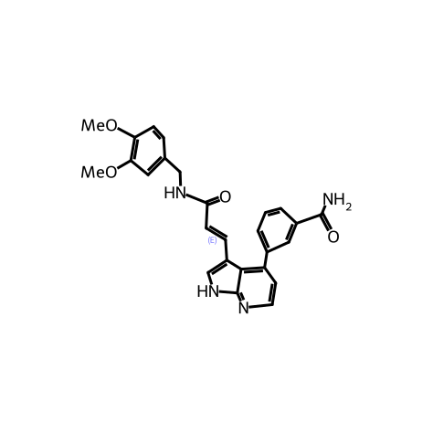 COc1ccc(CNC(=O)/C=C/c2c[nH]c3nccc(-c4cccc(C(N)=O)c4)c23)cc1OC